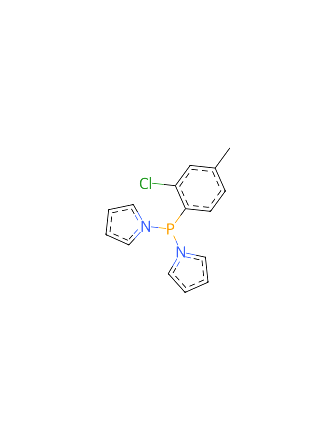 Cc1ccc(P(n2cccc2)n2cccc2)c(Cl)c1